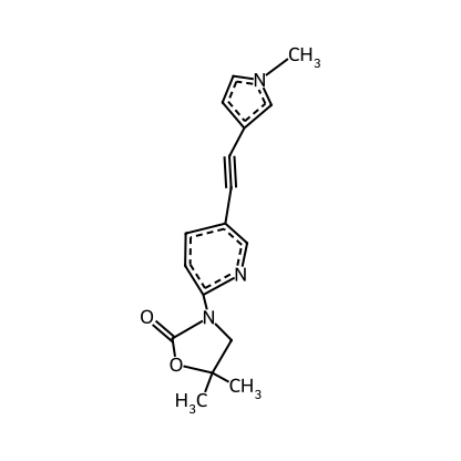 Cn1ccc(C#Cc2ccc(N3CC(C)(C)OC3=O)nc2)c1